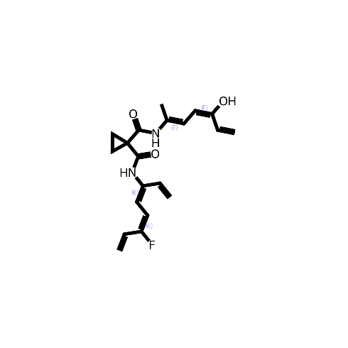 C=C/C(O)=C\C=C(/C)NC(=O)C1(C(=O)N/C(C=C)=C/C=C(/F)C=C)CC1